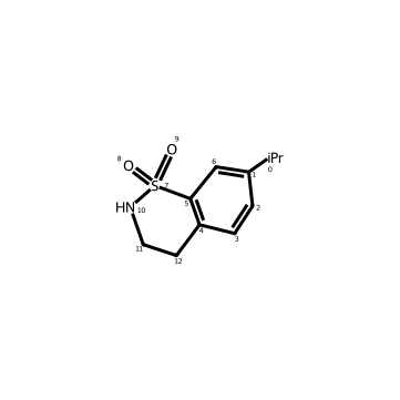 CC(C)c1ccc2c(c1)S(=O)(=O)NCC2